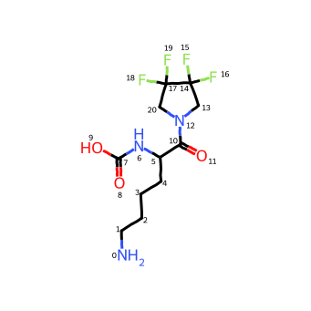 NCCCCC(NC(=O)O)C(=O)N1CC(F)(F)C(F)(F)C1